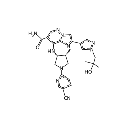 C[C@H]1CN(c2ccc(C#N)cn2)C[C@H]1Nc1c(C(N)=O)cnn2cc(-c3cnn(CC(C)(C)O)c3)nc12